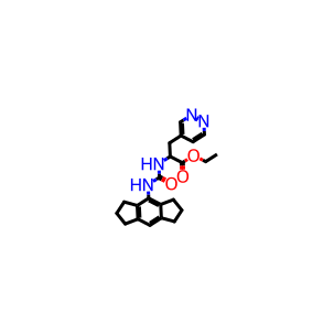 CCOC(=O)C(Cc1ccnnc1)NC(=O)Nc1c2c(cc3c1CCC3)CCC2